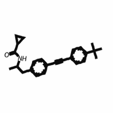 CC(Cc1ccc(C#Cc2ccc(C(C)(C)C)cc2)cc1)NC(=O)C1CC1